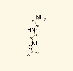 CC(C)ONCCNCCN